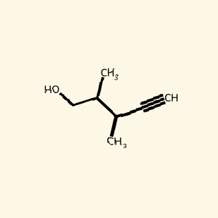 C#CC(C)C(C)CO